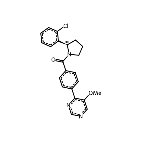 COc1cncnc1-c1ccc(C(=O)N2CCC[C@@H]2c2ccccc2Cl)cc1